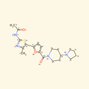 CC(=O)Nc1nc(C)c(-c2ccc(C(=O)N3CCC(N4CCCC4)CC3)o2)s1